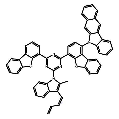 C=C/C=C\c1c(C)n(-c2nc(-c3ccc(-n4c5ccccc5c5cc6ccccc6cc54)c4c3oc3ccccc34)nc(-c3cccc4c3sc3ccccc34)n2)c2ccccc12